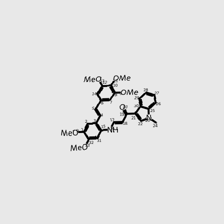 COc1cc(C=Cc2cc(OC)c(OC)c(OC)c2)c(NC=CC(=O)c2cn(C)c3ccccc23)cc1OC